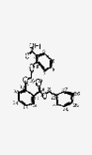 O=C(O)c1ccccc1OCOc1ccccc1C(=O)OCc1ccccc1